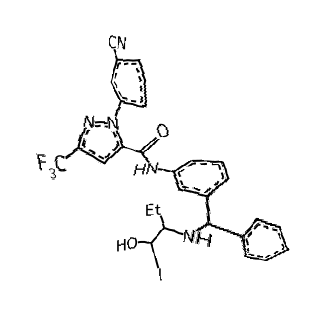 CCC(NC(c1ccccc1)c1cccc(NC(=O)c2cc(C(F)(F)F)nn2-c2cccc(C#N)c2)c1)C(O)I